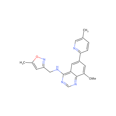 COc1cc(-c2ccc(C)cn2)cc2c(NCc3cc(C)on3)ncnc12